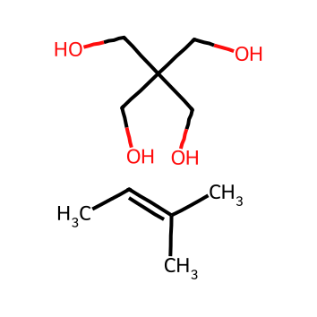 CC=C(C)C.OCC(CO)(CO)CO